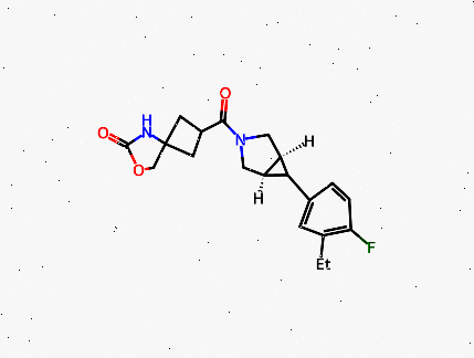 CCc1cc(C2[C@H]3CN(C(=O)C4CC5(COC(=O)N5)C4)C[C@@H]23)ccc1F